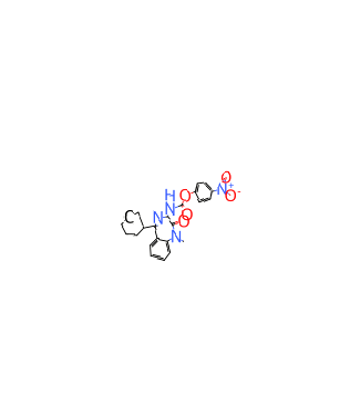 CN1C(=O)C(NC(=O)Oc2ccc([N+](=O)[O-])cc2)N=C(C2CCCCC2)c2ccccc21